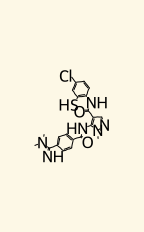 CN(C)C(=N)c1ccc(C(=O)Nc2c(C(=O)Nc3ccc(Cl)cc3S)cnn2C)cc1